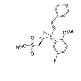 COc1ccc(F)cc1[C@@]1(N=Cc2ccccc2)C[C@@H]1CS(=O)(=O)OC